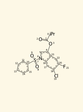 CC(C)C(=O)Oc1cn(S(=O)(=O)c2ccccc2)c2cc(Cl)c(F)cc12